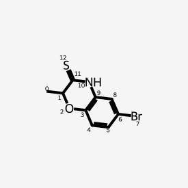 CC1Oc2ccc(Br)cc2NC1=S